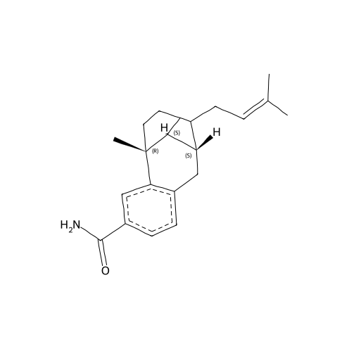 CC(C)=CCC1CC[C@@]2(C)c3cc(C(N)=O)ccc3C[C@@H]1[C@@H]2C